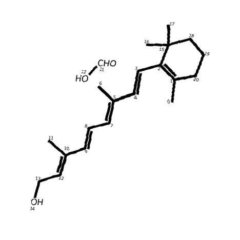 CC1=C(/C=C/C(C)=C/C=C/C(C)=C/CO)C(C)(C)CCC1.O=CO